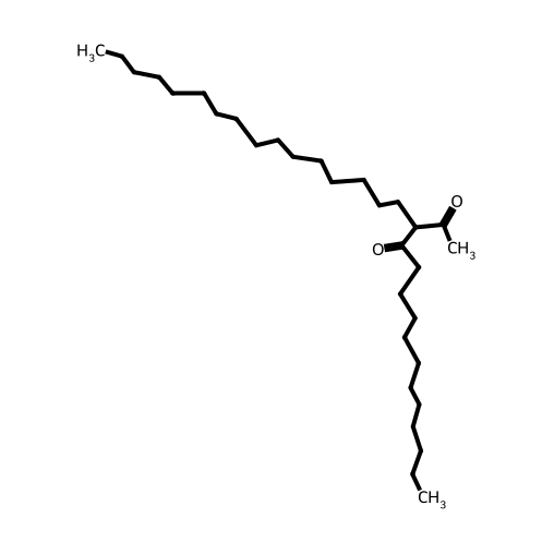 CCCCCCCCCCCCCCCCC(C(C)=O)C(=O)CCCCCCCCCCC